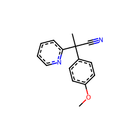 COc1ccc(C(C)(C#N)c2ccccn2)cc1